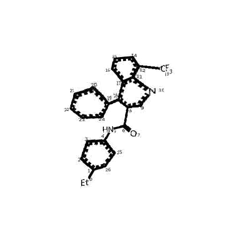 CCc1ccc(NC(=O)c2cnc3c(C(F)(F)F)cccc3c2-c2ccccc2)cc1